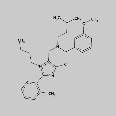 CCCCn1c(-c2ccccc2C)nc(Cl)c1CN(CCC(C)C)Cc1cccc(OC)c1